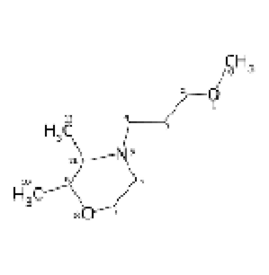 COCCCN1CCOC(C)C1C